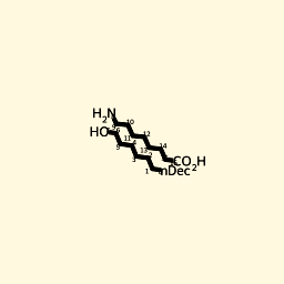 CCCCCCCCCCCCCCCCO.NCCCCCCCC(=O)O